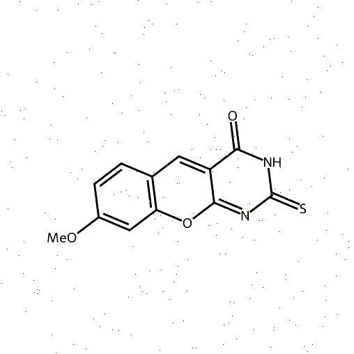 COc1ccc2cc3c(=O)[nH]c(=S)nc-3oc2c1